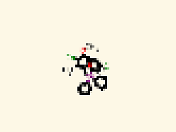 COc1cc(C)c(C[P+](c2ccccc2)(c2ccccc2)c2ccccc2)c(C)c1Cl.[Cl-]